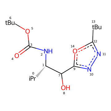 CC(C)[C@H](NC(=O)OC(C)(C)C)C(O)c1nnc(C(C)(C)C)o1